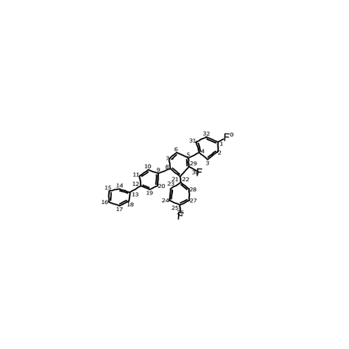 Fc1ccc(-c2c[c]c(-c3ccc(-c4ccccc4)cc3)c(-c3ccc(F)cc3)c2F)cc1